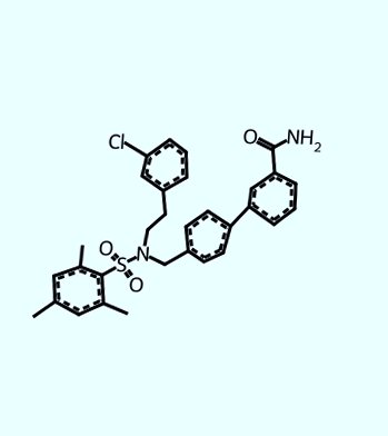 Cc1cc(C)c(S(=O)(=O)N(CCc2cccc(Cl)c2)Cc2ccc(-c3cccc(C(N)=O)c3)cc2)c(C)c1